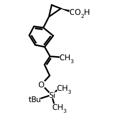 C/C(=C\CO[Si](C)(C)C(C)(C)C)c1cccc(C2C[C@H]2C(=O)O)c1